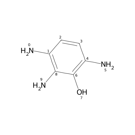 Nc1ccc(N)c(O)c1N